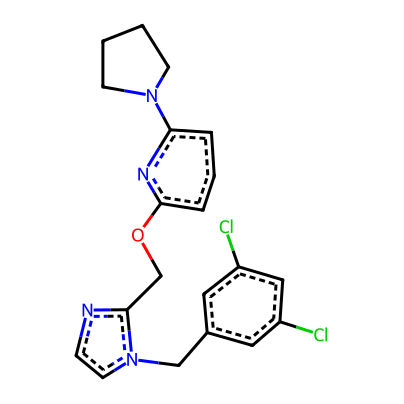 Clc1cc(Cl)cc(Cn2ccnc2COc2cccc(N3CCCC3)n2)c1